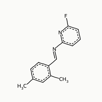 Cc1ccc(/C=N/c2cccc(F)n2)c(C)c1